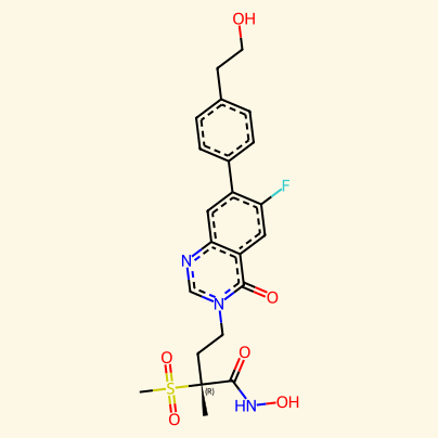 C[C@@](CCn1cnc2cc(-c3ccc(CCO)cc3)c(F)cc2c1=O)(C(=O)NO)S(C)(=O)=O